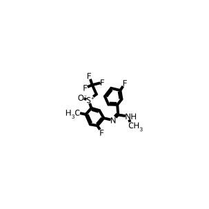 CN/C(=N/c1cc([S+]([O-])CC(F)(F)F)c(C)cc1F)c1cccc(F)c1